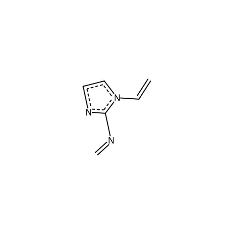 C=Cn1ccnc1N=C